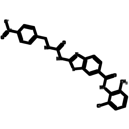 Cc1cccc(Cl)c1NC(=O)c1ccc2nc(NC(=O)NCc3ccc([N+](=O)[O-])cc3)sc2c1